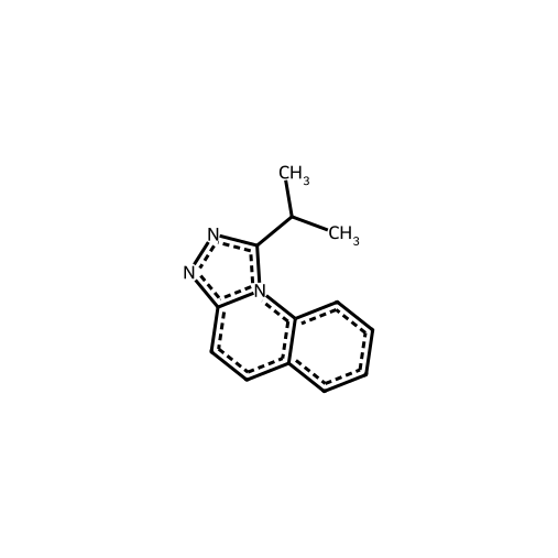 CC(C)c1nnc2ccc3ccccc3n12